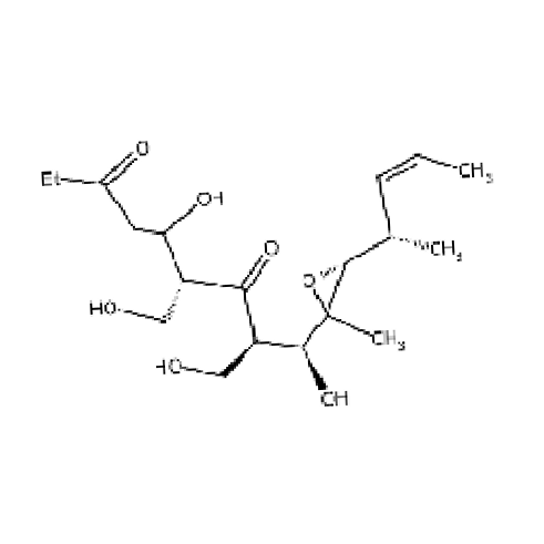 C/C=C\[C@H](C)[C@H]1OC1(C)[C@@H](O)[C@@H](CO)C(=O)[C@H](CO)C(O)CC(=O)CC